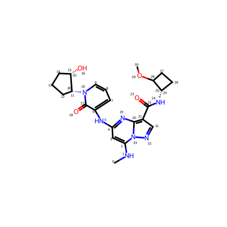 CNc1cc(Nc2cccn([C@@H]3CCC[C@@H]3O)c2=O)nc2c(C(=O)N[C@H]3CCC3OC)cnn12